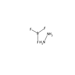 FB(F)F.NN